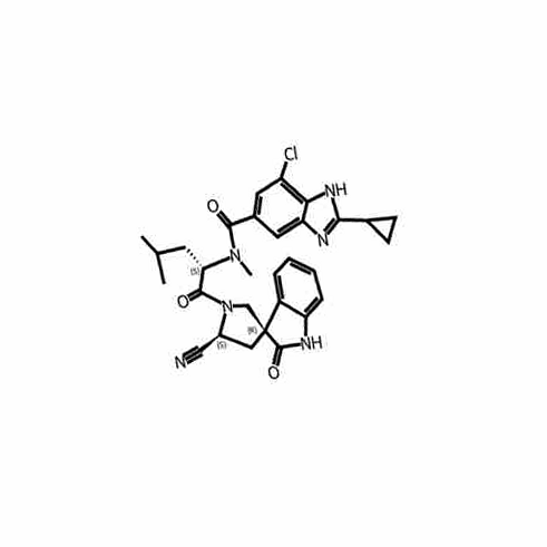 CC(C)C[C@@H](C(=O)N1C[C@]2(C[C@H]1C#N)C(=O)Nc1ccccc12)N(C)C(=O)c1cc(Cl)c2[nH]c(C3CC3)nc2c1